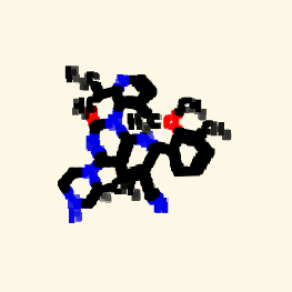 COc1c(C)cccc1-c1nc2c(cc1C#N)c(N1CCNC[C@@H]1C)nc(=O)n2-c1c(C)ccnc1C(C)C